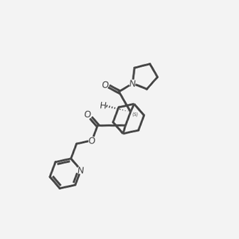 O=C(OCc1ccccn1)C1C2CCC(CC2)[C@@H]1C(=O)N1CCCC1